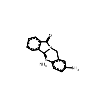 N.Nc1ccc2c(c1)CN1C(=O)c3ccccc3C1=N2